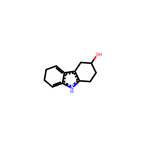 OC1CCc2[nH]c3c(c2C1)=CCCC=3